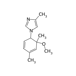 COC1(C)C=C(C)C=CC1n1cnc(C)c1